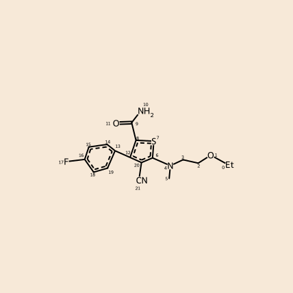 CCOCCN(C)c1sc(C(N)=O)c(-c2ccc(F)cc2)c1C#N